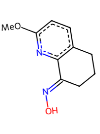 COc1ccc2c(n1)C(=NO)CCC2